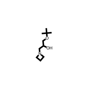 CC(C)(C)OCC(O)CN1CCC1